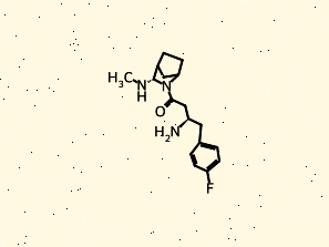 CN[C@@H]1C2CCC(C2)N1C(=O)C[C@H](N)Cc1ccc(F)cc1